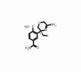 Cl.NC(=O)c1ccc(F)c([C@]2(CF)COCC(N)=N2)c1